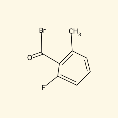 Cc1cccc(F)c1C(=O)Br